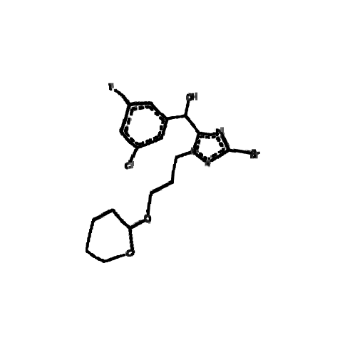 OC(c1cc(F)cc(Cl)c1)c1nc(Br)nn1CCCOC1CCCCO1